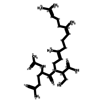 CC(=O)NC(CCC(N)=O)C(=O)N(CC=C(C)CCC=C(C)CCC=C(C)C)C(CS)C(=O)O